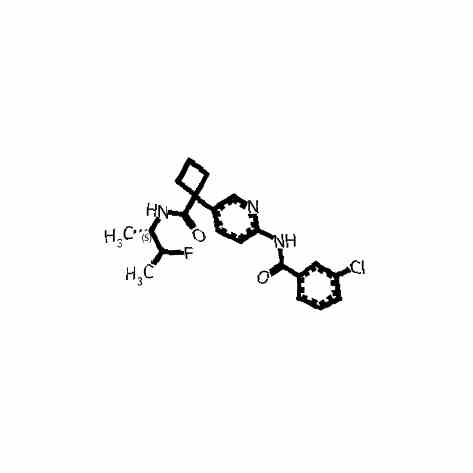 CC(F)[C@H](C)NC(=O)C1(c2ccc(NC(=O)c3cccc(Cl)c3)nc2)CCC1